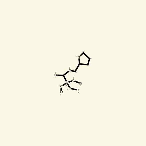 CCO[Si](OCC)(OCC)C(CC)OCC1CCCO1